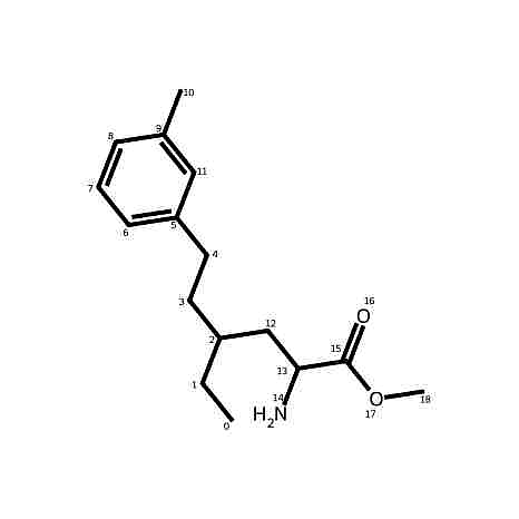 CCC(CCc1cccc(C)c1)CC(N)C(=O)OC